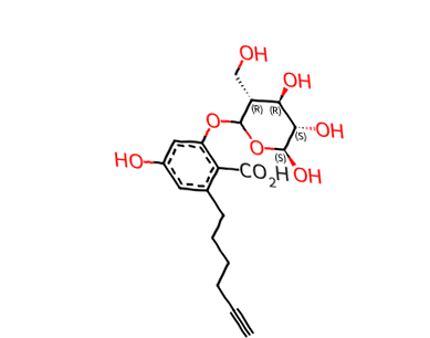 C#CCCCCc1cc(O)cc(OC2O[C@H](O)[C@@H](O)[C@H](O)[C@H]2CO)c1C(=O)O